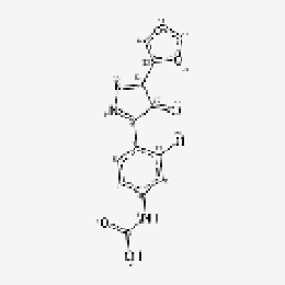 O=C(O)Nc1ccc(C2=NN=C(c3ccco3)C2=O)c(Cl)c1